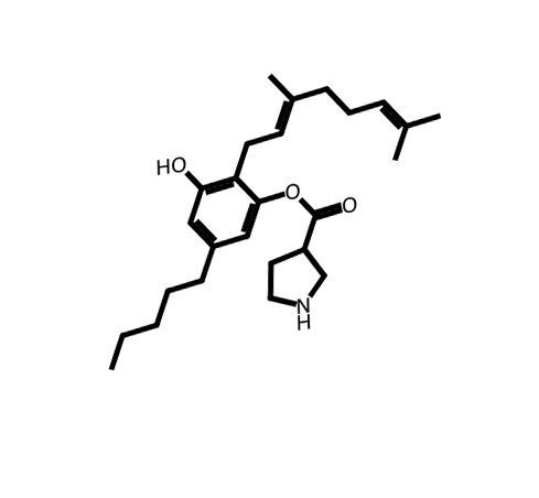 CCCCCc1cc(O)c(C/C=C(\C)CCC=C(C)C)c(OC(=O)C2CCNC2)c1